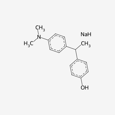 CC(c1ccc(O)cc1)c1ccc(N(C)C)cc1.[NaH]